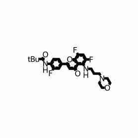 CC(C)(C)C(=O)Nc1ccc(-c2cc(=O)c3c(NCCCN4CCOCC4)c(F)cc(F)c3o2)cc1F